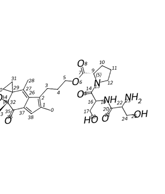 CC1=C(CCCOC(=O)[C@@H]2CCCN2C(=O)C(CO)NC(=O)C(N)CO)C2=C(C)C3(CC3)[C@@](C)(O)C(=O)C2=C1